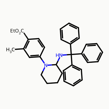 CCOC(=O)c1ccc(N2CCCCC2NC(c2ccccc2)(c2ccccc2)c2ccccc2)cc1C